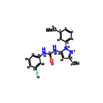 COc1cccc(-n2nc(C(C)(C)C)cc2NC(=O)Nc2cccc(F)c2)c1